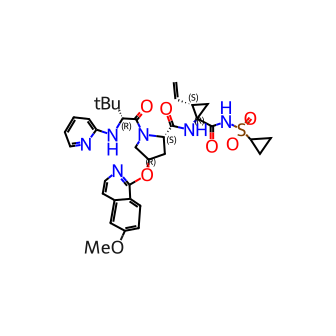 C=C[C@@H]1C[C@]1(NC(=O)[C@@H]1C[C@@H](Oc2nccc3cc(OC)ccc23)CN1C(=O)[C@H](Nc1ccccn1)C(C)(C)C)C(=O)NS(=O)(=O)C1CC1